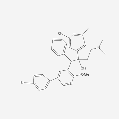 COc1ncc(-c2ccc(Br)cc2)cc1C(c1ccccc1)C(O)(CCN(C)C)c1cc(C)cc(Cl)c1